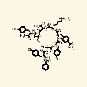 CNCCCC[C@@H]1NC(=O)[C@@H](Cc2ccc(C(N)=O)cc2)NC(=O)[C@H](Cc2ccc(O)cc2)NC(=O)[C@H](NC(=O)[C@H](Cc2ccc(Cl)cc2)NS(=O)(=O)c2ccccc2)CSSC[C@@H](C(=O)N[C@H](Cc2ccc(O)cc2)C(N)=O)NC(=O)C(C(C)O)NC1=O